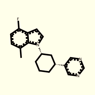 Cc1ccc(F)c2ccn([C@H]3CCC[C@@H](c4cncnc4)C3)c12